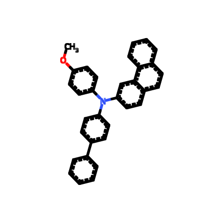 COc1ccc(N(c2ccc(-c3ccccc3)cc2)c2ccc3ccc4ccccc4c3c2)cc1